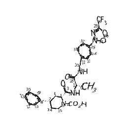 C[C@H](NC(=O)[C@H]1C[C@@H](c2ccccc2)CCN1C(=O)O)C(=O)NCc1ccc(N2N=C(C(F)(F)F)OO2)cc1